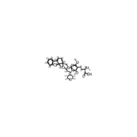 COc1nc(OCC2(OCCCN3CCOCC3)C=CC=C(c3ccccc3)C2(C)Cl)nc(OC)c1CC[C@H](N)C(=O)O